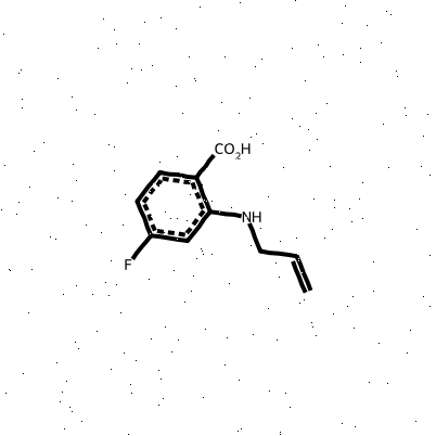 C=CCNc1cc(F)ccc1C(=O)O